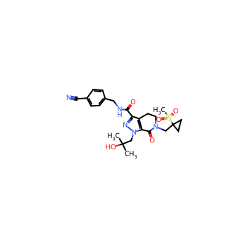 CC(C)(O)Cn1nc(C(=O)NCc2ccc(C#N)cc2)c2c1C(=O)N(CC1(S(C)(=O)=O)CC1)CC2